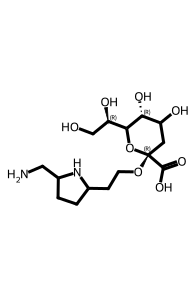 NCC1CCC(CCO[C@]2(C(=O)O)CC(O)[C@@H](O)C([C@H](O)CO)O2)N1